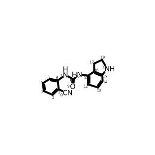 N#Cc1ccccc1NC(=O)Nc1cccc2c1CCN2